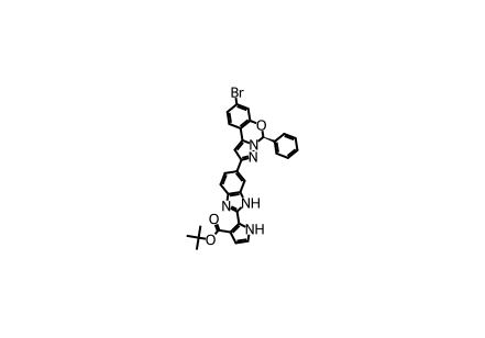 CC(C)(C)OC(=O)c1cc[nH]c1-c1nc2ccc(-c3cc4n(n3)[C@H](c3ccccc3)Oc3cc(Br)ccc3-4)cc2[nH]1